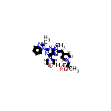 Cc1nc2ccccc2n1-c1nc(N2CCOCC2)c2nc(CC3CCN(CC(C)(C)O)CC3)n(C)c2n1